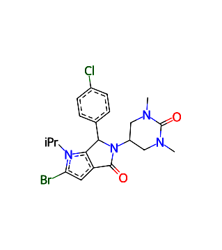 CC(C)n1c(Br)cc2c1C(c1ccc(Cl)cc1)N(C1CN(C)C(=O)N(C)C1)C2=O